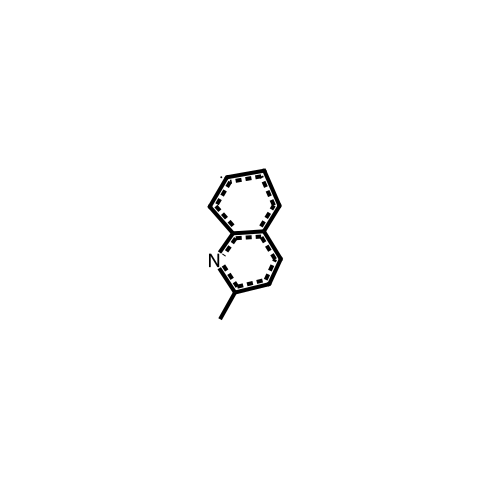 Cc1ccc2cc[c]cc2n1